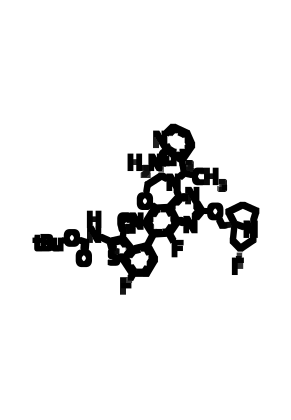 C=C[C@H]1COc2c(Cl)c(-c3ccc(F)c4sc(NC(=O)OC(C)(C)C)c(C#N)c34)c(F)c3nc(OC[C@@]45CCCN4C[C@H](F)C5)nc(c23)N1C(C)c1cccnc1N